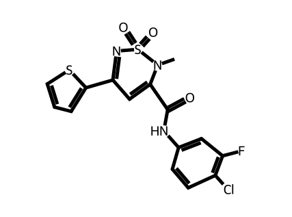 CN1C(C(=O)Nc2ccc(Cl)c(F)c2)=CC(c2cccs2)=NS1(=O)=O